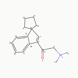 CN(C)CC(=O)C1=CC2(CCCC2)c2ccccc21